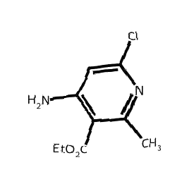 CCOC(=O)c1c(N)cc(Cl)nc1C